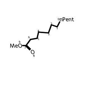 [CH2]CCCCCCCCCCC(=O)OC